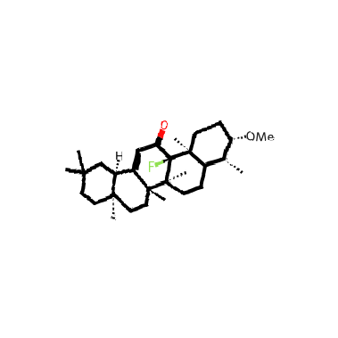 CO[C@H]1CC[C@@]2(C)C(CC[C@]3(C)[C@]2(F)C(=O)C=C2[C@@H]4CC(C)(C)CC[C@]4(C)CC[C@]23C)[C@H]1C